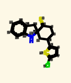 S=C1[CH]CC(c2ccc(Cl)s2)CC12Cc1ccccc1N2